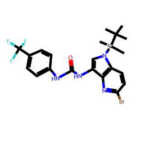 CC(C)(C)[Si](C)(C)n1cc(NC(=O)Nc2ccc(C(F)(F)F)cc2)c2nc(Br)ccc21